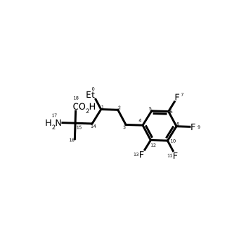 CCC(CCc1cc(F)c(F)c(F)c1F)CC(C)(N)C(=O)O